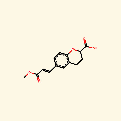 COC(=O)C=Cc1ccc2c(c1)CCC(C(=O)O)O2